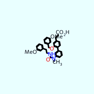 COc1cccc(CCNC(=O)N(C)c2cccc(-c3ccc(CCC(=O)O)cc3OCc3cccc(OC)c3)c2)c1